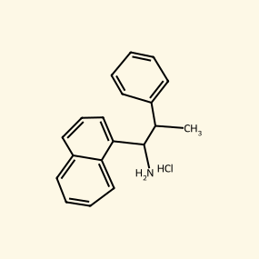 CC(c1ccccc1)C(N)c1cccc2ccccc12.Cl